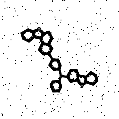 c1ccc(N(c2ccc(-c3ccc4c(ccc5oc6ccccc6c54)c3)cc2)c2ccc3c(c2)sc2ccccc23)cc1